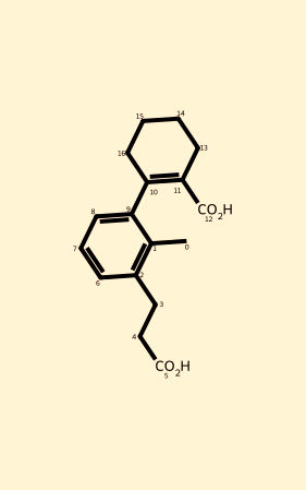 Cc1c(CCC(=O)O)cccc1C1=C(C(=O)O)CCCC1